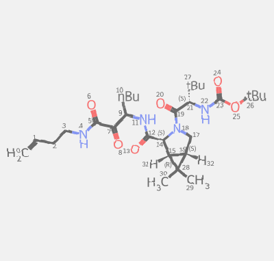 C=CCCNC(=O)C(=O)C(CCCC)NC(=O)[C@@H]1[C@@H]2[C@H](CN1C(=O)[C@@H](NC(=O)OC(C)(C)C)C(C)(C)C)C2(C)C